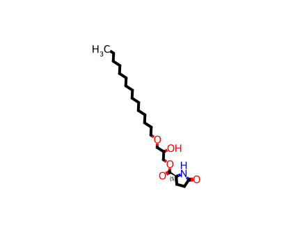 CCCCCCCCCCCCCCCOCC(O)COC(=O)[C@@H]1CCC(=O)N1